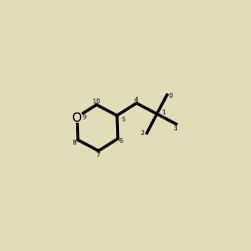 CC(C)(C)CC1CCCOC1